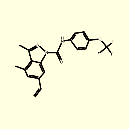 C=Cc1cc(C)c2c(C)nn(C(=O)Nc3ccc(OC(F)(F)F)cc3)c2c1